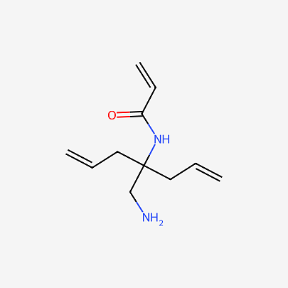 C=CCC(CN)(CC=C)NC(=O)C=C